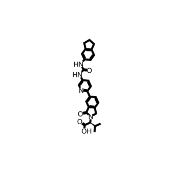 CC(C)[C@@H](C(=O)O)N1Cc2ccc(-c3ccc(NC(=O)Nc4ccc5c(c4)CCC5)cn3)cc2C1=O